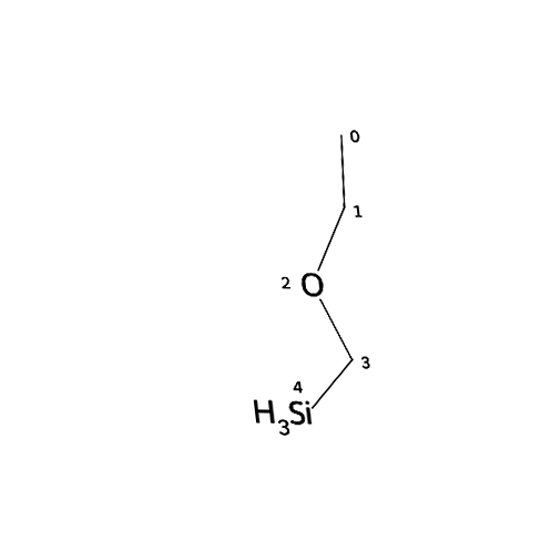 CCOC[SiH3]